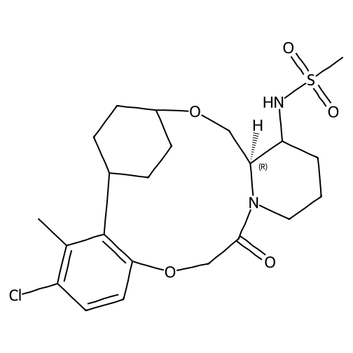 Cc1c(Cl)ccc2c1C1CCC(CC1)OC[C@H]1C(NS(C)(=O)=O)CCCN1C(=O)CO2